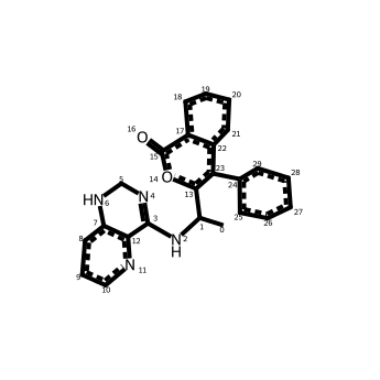 CC(NC1=NCNc2cccnc21)c1oc(=O)c2ccccc2c1-c1ccccc1